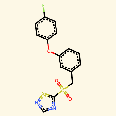 O=S(=O)(Cc1cccc(Oc2ccc(F)cc2)c1)c1ncns1